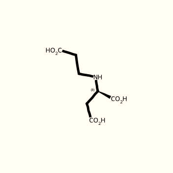 O=C(O)CCN[C@H](CC(=O)O)C(=O)O